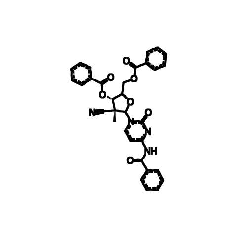 C[C@]1(C#N)C(n2ccc(NC(=O)c3ccccc3)nc2=O)OC(COC(=O)c2ccccc2)[C@H]1OC(=O)c1ccccc1